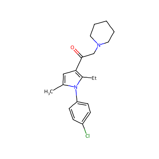 CCc1c(C(=O)CN2CCCCC2)cc(C)n1-c1ccc(Cl)cc1